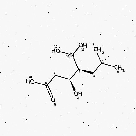 CC(C)C[C@@H]([C@@H](O)CC(=O)O)N(O)O